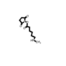 CNCCCCCC(=O)ON1C(=O)CCC1=O